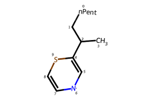 CCCCCCC(C)C1=C[N]C=CS1